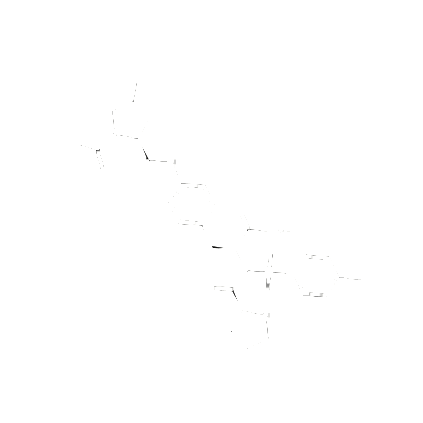 COC(=O)[C@H](Cc1ccc(NC(=O)[C@@H]2CC(O)CN2C(=O)OC(C)(C)C)cc1)N(C(=O)[C@@H]1CCCN1)S(=O)(=O)c1ccc(C)cc1